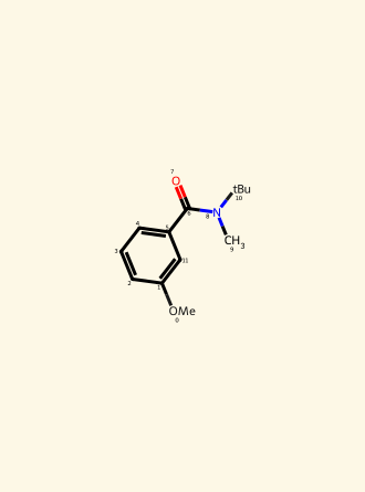 COc1cccc(C(=O)N(C)C(C)(C)C)c1